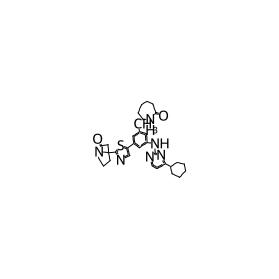 Cc1cc(Nc2nccc(C3CCCCC3)n2)cc(-c2cnc(C34CCCN3C(=O)C4)s2)c1.O=C1CCCCCN1